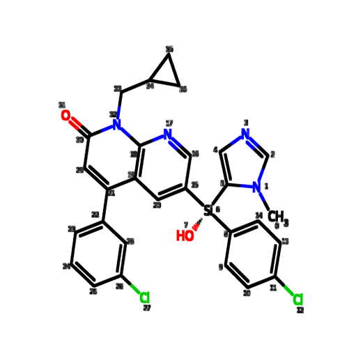 Cn1cncc1[Si@@](O)(c1ccc(Cl)cc1)c1cnc2c(c1)c(-c1cccc(Cl)c1)cc(=O)n2CC1CC1